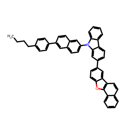 CCCCc1ccc(-c2ccc3cc(-n4c5ccccc5c5ccc(-c6ccc7oc8c9ccccc9ccc8c7c6)cc54)ccc3c2)cc1